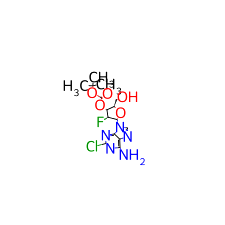 CC(C)(C)OC(=O)O[C@H]1[C@H](F)[C@H](n2cnc3c(N)nc(Cl)nc32)O[C@@H]1CO